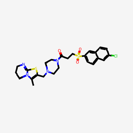 CC1=C(CN2CCN(C(=O)CCS(=O)(=O)c3ccc4cc(Cl)ccc4c3)CC2)SC2=NCCCN21